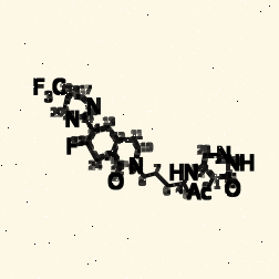 CC(=O)c1c(NC(C)CCCn2ccc3cc(-c4ncc(C(F)(F)F)cn4)c(F)cc3c2=O)cn[nH]c1=O